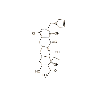 CC[C@]1(O)C(C(N)=O)=C(O)CC2CC3Cc4c(Cl)cc(CN5CC=CC5)c(O)c4C(=O)C3=C(O)C21